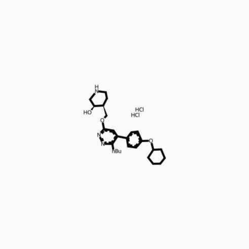 CCCCc1nnc(OC[C@@H]2CCNC[C@@H]2O)cc1-c1ccc(OC2CCCCC2)cc1.Cl.Cl